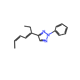 C/C=C\C=C(/CC)c1cnn(-c2ccccc2)n1